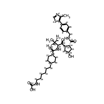 Cc1ncsc1-c1ccc(CNC(=O)[C@@H]2C[C@@H](O)CN2C(=O)C(NC(=O)N2CCN(CCCCCCNC(=O)O)CC2)C(C)(C)C)cc1